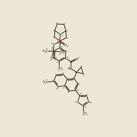 Cc1ccc2c(C3(NC(=O)c4cc(N5CC6CCC(C5)N6C(=O)OC(C)(C)C)ccc4C)CC3)cc(-c3cnc(C)o3)cc2n1